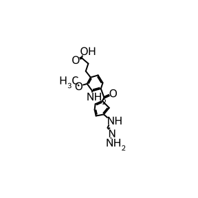 COc1c(CCC(=O)O)ccc(C(=O)c2cccc(NC=NN)c2)c1N